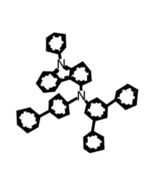 c1ccc(-c2ccc(N(c3cc(-c4ccccc4)cc(-c4ccccc4)c3)c3cccc4c3c3ccccc3n4-c3ccccc3)cc2)cc1